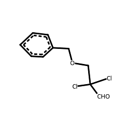 O=CC(Cl)(Cl)COCc1ccccc1